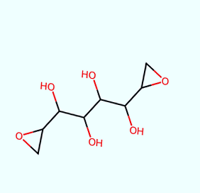 OC(C1CO1)C(O)C(O)C(O)C1CO1